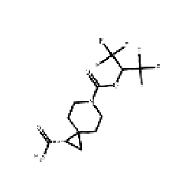 NC(=O)[C@H]1CC12CCN(C(=O)OC(C(F)(F)F)C(F)(F)F)CC2